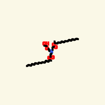 CCCCCCCCCCCCCC(C)OC(=O)CCN(CCOCCO)CCC(=O)OC(C)CCCCCCCCCCCCC